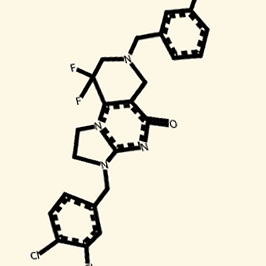 N#Cc1cccc(CN2Cc3c(n4c(nc3=O)N(Cc3ccc(Cl)c(Cl)c3)CC4)C(F)(F)C2)c1